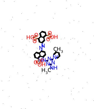 CNc1nc(Nc2ccc(N=Nc3cc(S(=O)(=O)O)c4cccc(S(=O)(=O)O)c4c3)c3cccc(S(=O)(=O)O)c23)nc(-[n+]2cccc(C)c2)n1